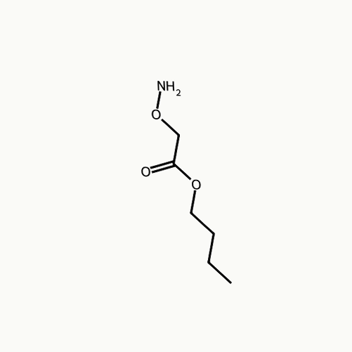 CCCCOC(=O)CON